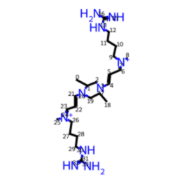 CC1CN(C=CC=[N+](C)CCCCNC(=N)N)C(C)CN1C=CC=[N+](C)CCCCNC(=N)N